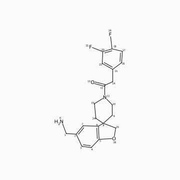 NCc1ccc2c(c1)C1(CCN(C(=O)Cc3ccc(F)c(F)c3)CC1)CO2